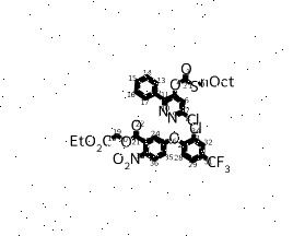 CCCCCCCCSC(=O)Oc1cc(Cl)nnc1-c1ccccc1.CCOC(=O)COC(=O)c1cc(Oc2ccc(C(F)(F)F)cc2Cl)ccc1[N+](=O)[O-]